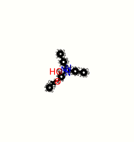 CC(C)(COc1ccc(-c2nc(-c3ccc(-c4ccccc4)cc3)nc(-c3ccc(-c4ccccc4)cc3)n2)c(O)c1)c1ccccc1